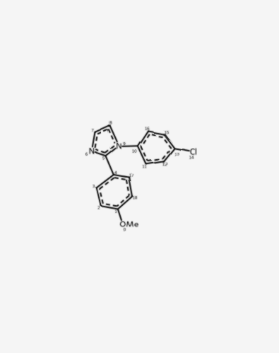 COc1ccc(-c2nccn2-c2ccc(Cl)cc2)cc1